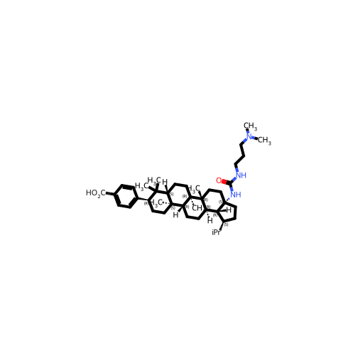 CC(C)[C@@H]1CC[C@]2(NC(=O)NCCCN(C)C)CC[C@]3(C)[C@H](CC[C@@H]4[C@@]5(C)CC[C@@H](c6ccc(C(=O)O)cc6)C(C)(C)[C@@H]5CC[C@]43C)[C@@H]12